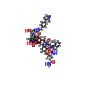 CNC(=O)CC[C@H](NC(=O)[C@@H]1Cc2cccc3c2N1C(=O)[C@@H](NC(=O)/C=C(\C)c1ccc(C(F)(F)P(=O)(O)O)cc1)CC3)[C@@H](C)OCc1ccc(CCCCC(=O)N[C@H](C(=O)N2C[C@H](O)C[C@H]2C(=O)NCc2ccc(-c3scnc3C)cc2)C(C)(C)C)cc1